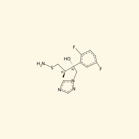 C[C@@H](CSN)[C@](O)(Cn1cncn1)c1cc(F)ccc1F